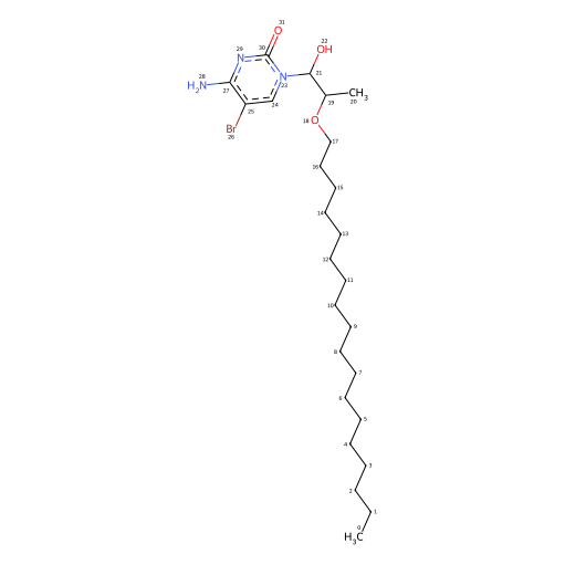 CCCCCCCCCCCCCCCCCCOC(C)C(O)n1cc(Br)c(N)nc1=O